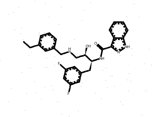 CCc1cccc(CNC[C@@H](O)[C@H](Cc2cc(F)cc(F)c2)NC(=O)c2n[nH]c3ccccc23)c1